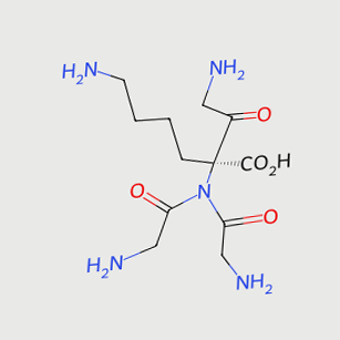 NCCCC[C@@](C(=O)O)(C(=O)CN)N(C(=O)CN)C(=O)CN